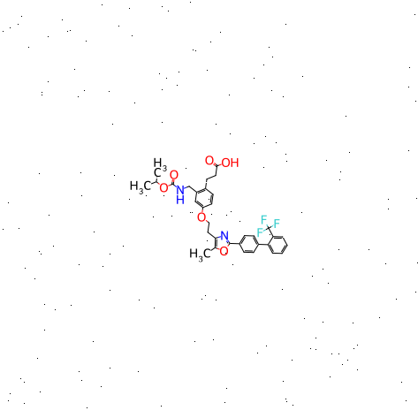 Cc1oc(-c2ccc(-c3ccccc3C(F)(F)F)cc2)nc1CCOc1ccc(CCC(=O)O)c(CNC(=O)OC(C)C)c1